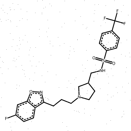 O=S(=O)(NCC1CCN(CCCc2noc3cc(F)ccc23)C1)c1ccc(C(F)(F)F)cc1